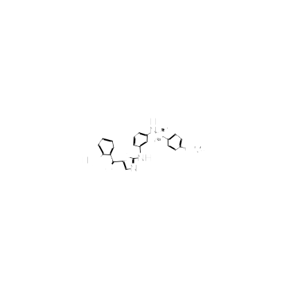 COc1ccc(S(=O)(=O)Nc2cccc(Nc3ncc(C(=O)c4ccccc4C)s3)c2)cc1